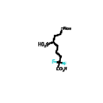 CCCCCCCCCCCC(CCCC(F)(F)C(=O)O)S(=O)(=O)O